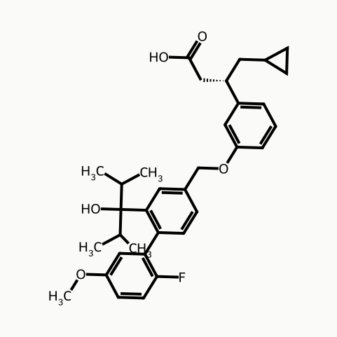 COc1ccc(F)c(-c2ccc(COc3cccc([C@H](CC(=O)O)CC4CC4)c3)cc2C(O)(C(C)C)C(C)C)c1